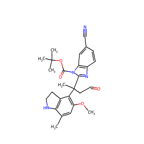 COc1cc(C)c2c(c1C(C)(CC=O)c1nc3ccc(C#N)cc3n1C(=O)OC(C)(C)C)CCN2